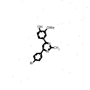 COc1cc(-c2cc(-c3ccc(Br)cc3)nc(C)n2)ccc1O